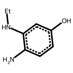 CCNc1cc(O)ccc1N